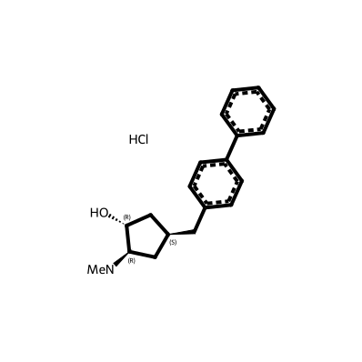 CN[C@@H]1C[C@H](Cc2ccc(-c3ccccc3)cc2)C[C@H]1O.Cl